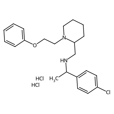 CC(NCC1CCCCN1CCOc1ccccc1)c1ccc(Cl)cc1.Cl.Cl